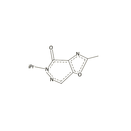 Cc1nc2c(=O)n(C(C)C)ncc2o1